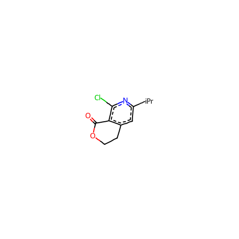 CC(C)c1cc2c(c(Cl)n1)C(=O)OCC2